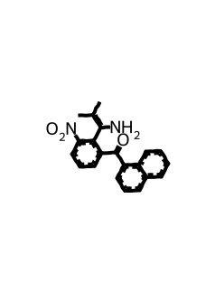 CC(C)=C(N)c1c(C(=O)c2cccc3ccccc23)cccc1[N+](=O)[O-]